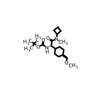 COC=C1CCC([C@H](NC(=O)OC(C)(C)C)C(=O)N(C)C2CCC2)CC1